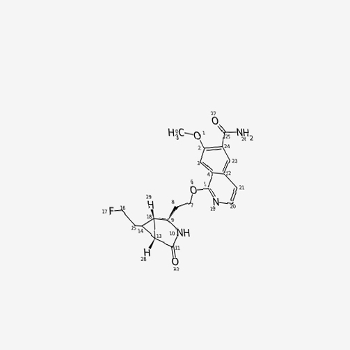 COc1cc2c(OCC[C@H]3NC(=O)[C@@H]4C(CCF)[C@@H]43)nccc2cc1C(N)=O